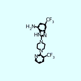 Nc1cc(C(F)(F)F)cc2nc(N3CCN(c4ncccc4C(F)(F)F)CC3)[nH]c12